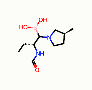 CC[C@@H](NC=O)C(B(O)O)N1CC[C@H](C)C1